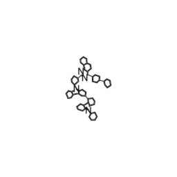 c1ccc(-c2ccc(-c3nc(-c4cccc(-n5c6ccccc6c6cc(-c7cccc8c7c7ccccc7n8-c7ccccc7)ccc65)c4)nc4c3ccc3ccccc34)cc2)cc1